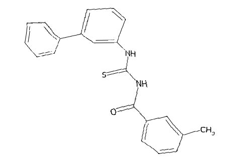 Cc1cccc(C(=O)NC(=S)Nc2cccc(-c3ccccc3)c2)c1